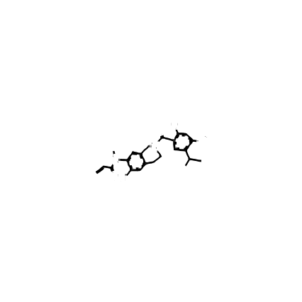 C=CC(=O)N(C)c1cc2c(cc1Cl)CCN(C(=O)c1cc(C(C)C)c(OC)cc1O)C2